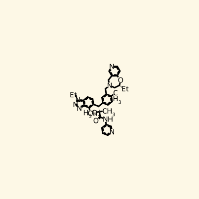 CC[C@@H]1CN(Cc2cc([C@@H](c3ccc4c(nnn4CC)c3C)C(C)(C)C(=O)Nc3cccnc3)ccc2C)Cc2cnccc2O1